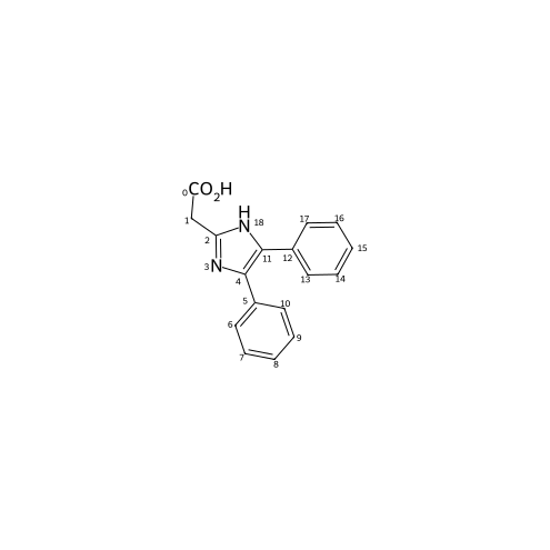 O=C(O)Cc1nc(-c2ccccc2)c(-c2ccccc2)[nH]1